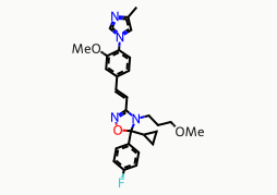 COCCCN1C(/C=C/c2ccc(-n3cnc(C)c3)c(OC)c2)=NOC1(c1ccc(F)cc1)C1CC1